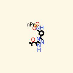 C=C(C)C(=O)c1c[nH]c2ncc(-c3cccc(CNS(=O)(=O)CCC)c3)nc12